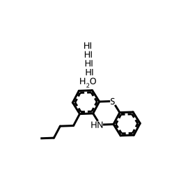 CCCCc1cccc2c1Nc1ccccc1S2.I.I.I.I.O